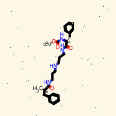 C[C@H](Cc1ccccc1)C(=O)NCCCNCCCNC(=O)[C@@H](Cc1ccccc1)NC(=O)OC(C)(C)C